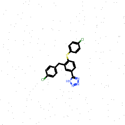 Clc1ccc(Cc2cc(-c3nnn[nH]3)ccc2Sc2ccc(Cl)cc2)cc1